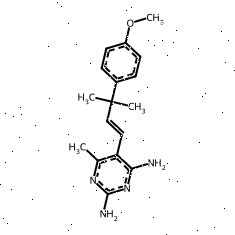 COc1ccc(C(C)(C)C=Cc2c(C)nc(N)nc2N)cc1